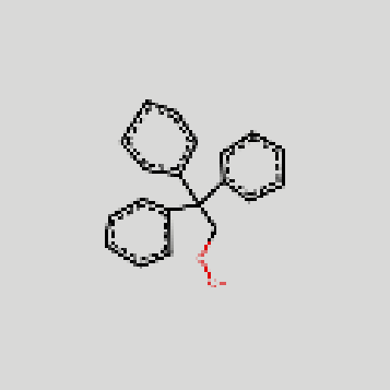 OOCC(c1ccccc1)(c1ccccc1)c1ccccc1